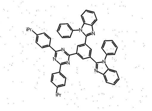 CC(C)c1ccc(-c2nc(-c3ccc(C(C)C)cc3)nc(-c3cc(-c4nc5ccccc5n4-c4ccccc4)cc(-c4nc5ccccc5n4-c4ccccc4)c3)n2)cc1